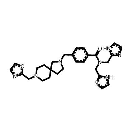 O=C(c1ccc(CN2CCC3(CCN(Cc4ncco4)CC3)C2)cc1)N(Cc1ncc[nH]1)Cc1ncc[nH]1